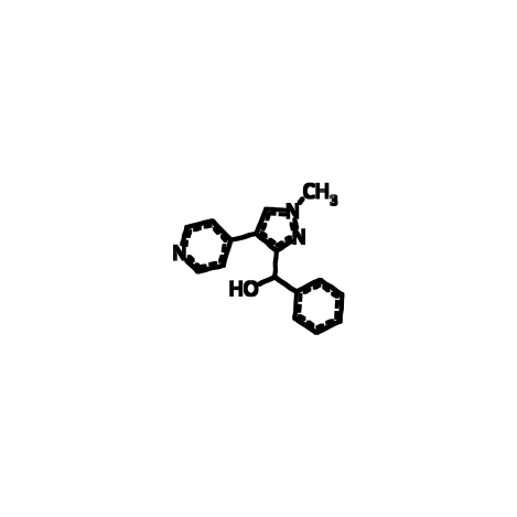 Cn1cc(-c2ccncc2)c(C(O)c2ccccc2)n1